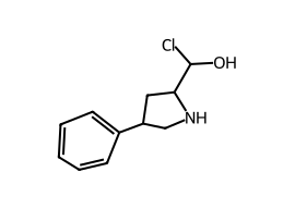 OC(Cl)C1CC(c2ccccc2)CN1